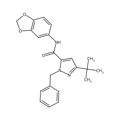 CC(C)(C)c1cc(C(=O)Nc2ccc3c(c2)OCO3)n(Cc2ccccc2)n1